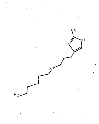 CCCCCCNCCCc1c[nH]c(C)n1